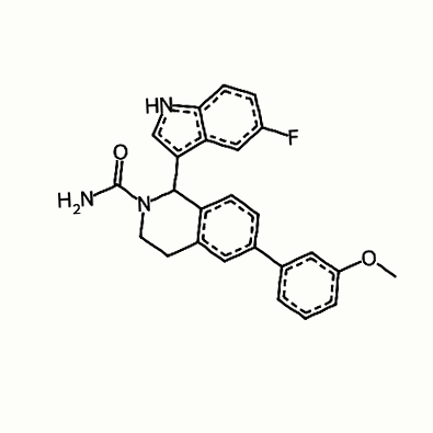 COc1cccc(-c2ccc3c(c2)CCN(C(N)=O)C3c2c[nH]c3ccc(F)cc23)c1